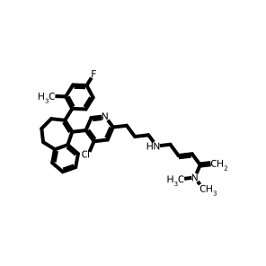 C=C(/C=C/CNCCCc1cc(Cl)c(C2=C(c3ccc(F)cc3C)CCCc3ccccc32)cn1)N(C)C